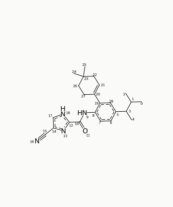 CC(C)C(C)c1ccc(NC(=O)c2nc(C#N)c[nH]2)c(C2=CCC(C)(C)CC2)c1